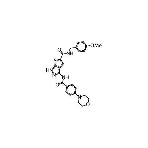 COc1ccc(CNC(=O)c2cc3c(NC(=O)c4ccc(N5CCOCC5)cc4)n[nH]c3s2)cc1